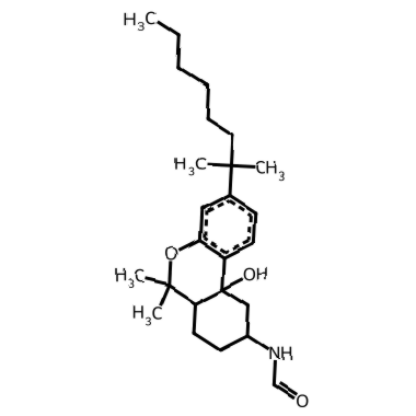 CCCCCCC(C)(C)c1ccc2c(c1)OC(C)(C)C1CCC(NC=O)CC21O